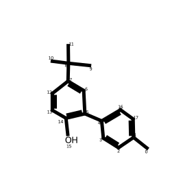 Cc1ccc(-c2cc(C(C)(C)C)ccc2O)cc1